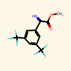 COC(=O)C(=N)c1cc(C(F)(F)F)cc(C(F)(F)F)c1